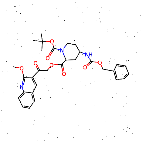 COc1nc2ccccc2cc1C(=O)COC(=O)C1CC(NC(=O)OCc2ccccc2)CCN1C(=O)OC(C)(C)C